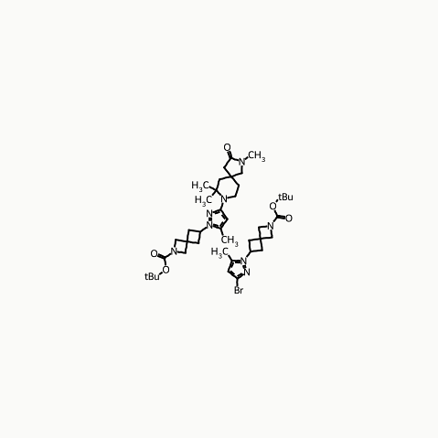 Cc1cc(Br)nn1C1CC2(C1)CN(C(=O)OC(C)(C)C)C2.Cc1cc(N2CCC3(CC(=O)N(C)C3)CC2(C)C)nn1C1CC2(C1)CN(C(=O)OC(C)(C)C)C2